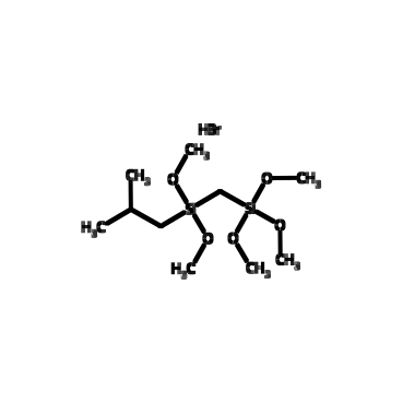 Br.CO[Si](CC(C)C)(C[Si](OC)(OC)OC)OC